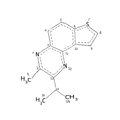 Cc1nc2ccc3sccc3c2nc1C(C)C